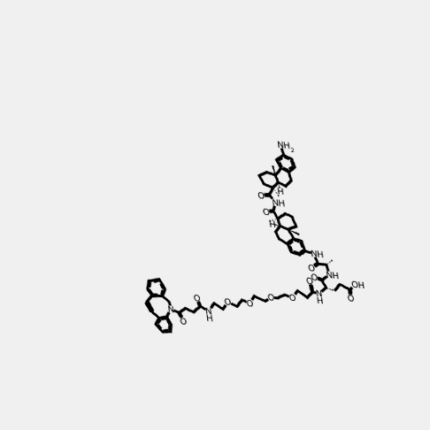 C[C@H](NC(=O)[C@H](CCC(=O)O)NC(=O)CCOCCOCCOCCOCCNC(=O)CCC(=O)N1Cc2ccccc2C#Cc2ccccc21)C(=O)Nc1ccc2c(c1)[C@@]1(C)CCC[C@](C)(C(=O)NC(=O)[C@@]3(C)CCC[C@]4(C)c5cc(N)ccc5CC[C@@H]34)[C@@H]1CC2